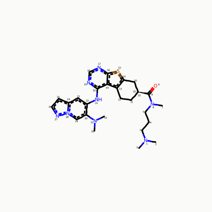 CN(C)CCCN(C)C(=O)[C@H]1CCc2c(sc3ncnc(Nc4cc5ccnn5cc4N(C)C)c23)C1